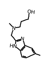 Cc1ccc2[nH]c(CN(C)CCCO)nc2c1